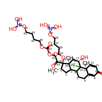 C[C@H]1CC2C3CCC4=CC(=O)C=C[C@]4(C)[C@@]3(F)[C@@H](O)C[C@]2(C)[C@@]1(OC(=O)CCCON(O)O)C(=O)COC(=O)OCCCCON(O)O